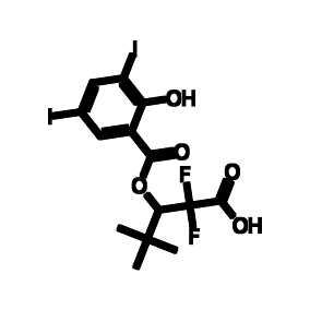 CC(C)(C)C(OC(=O)c1cc(I)cc(I)c1O)C(F)(F)C(=O)O